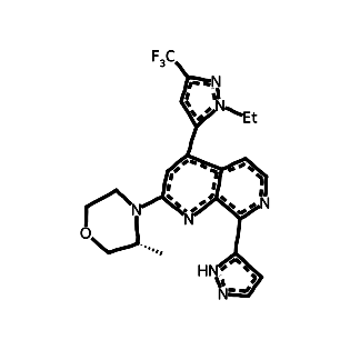 CCn1nc(C(F)(F)F)cc1-c1cc(N2CCOC[C@H]2C)nc2c(-c3ccn[nH]3)nccc12